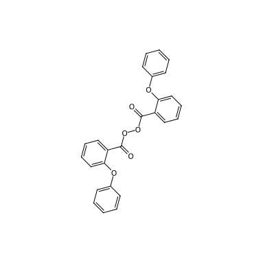 O=C(OOC(=O)c1ccccc1Oc1ccccc1)c1ccccc1Oc1ccccc1